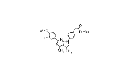 COc1ccc(-c2nc(C)c3c(n2)N(c2ccc(CC(=O)OC(C)(C)C)cc2)CC3C)cc1F